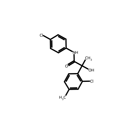 Cc1ccc(C(C)(O)C(=O)Nc2ccc(Cl)cc2)c(Cl)c1